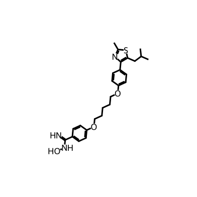 Cc1nc(-c2ccc(OCCCCCOc3ccc(C(=N)NO)cc3)cc2)c(CC(C)C)s1